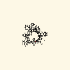 C=CC(C)(C)n1cc(C[C@@H]2NC(=O)[C@H](CC3CCCC3)NC(=O)[C@H](CC(C)C)N3CCC[C@@H](C3=O)N(C)C(=O)[C@H](C)NC(=O)[C@H](Cc3ccc4cnncc4c3)NC(=O)[C@H](CC(C)C)N(C)C2=O)c2ccccc21